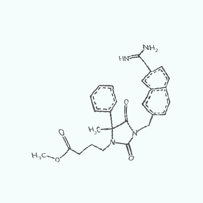 COC(=O)CCCN1C(=O)N(Cc2ccc3ccc(C(=N)N)cc3c2)C(=O)C1(C)c1ccccc1